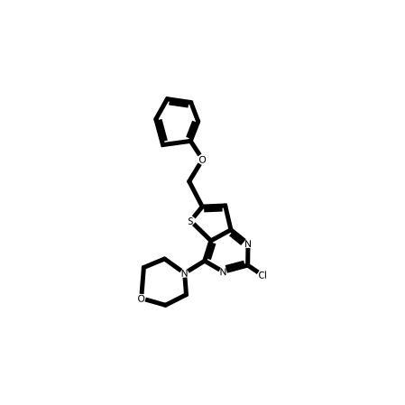 Clc1nc(N2CCOCC2)c2sc(COc3ccccc3)cc2n1